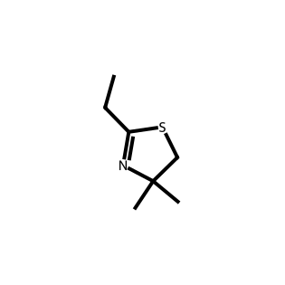 CCC1=NC(C)(C)CS1